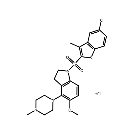 COc1ccc2c(c1N1CCN(C)CC1)CCN2S(=O)(=O)c1sc2ccc(Cl)cc2c1C.Cl